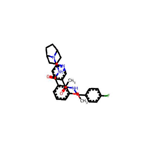 COc1cccc(C(=O)NC2CC3CCC(C2)N3c2ccc(C(=O)NCc3ccc(F)cc3)cn2)c1C